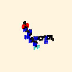 CNCC1CCC(CNc2cc(Nc3ccnc(-c4cnn(S(=O)(=O)C5CC5)c4)n3)ncc2-c2ccn(C(F)F)n2)CC1